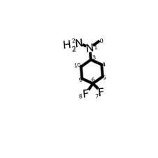 CN(N)C1CCC(F)(F)CC1